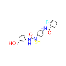 O=C(Nc1ccc(N(S)C(=O)Nc2cccc(CO)c2)cc1)c1ccccc1F